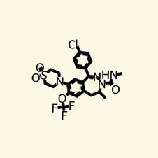 CNC(=O)N1N=C(c2ccc(Cl)cc2)c2cc(N3CCS(=O)(=O)CC3)c(OC(F)(F)F)cc2CC1C